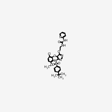 COc1ccc(Cl)c(Oc2c(NS(=O)(=O)c3ccc(C(C)(C)C)cc3)ncnc2OCCNC(=O)Nc2ccccn2)c1